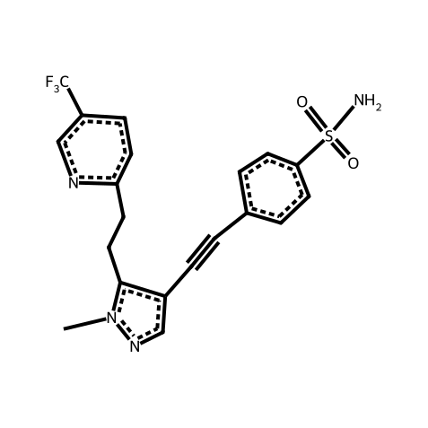 Cn1ncc(C#Cc2ccc(S(N)(=O)=O)cc2)c1CCc1ccc(C(F)(F)F)cn1